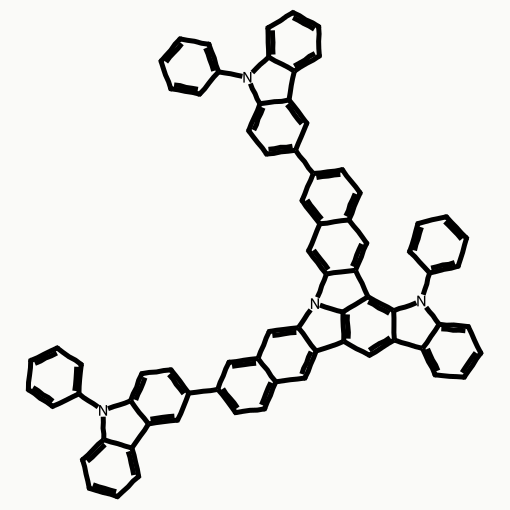 c1ccc(-n2c3ccccc3c3cc(-c4ccc5cc6c7cc8c9ccccc9n(-c9ccccc9)c8c8c9cc%10ccc(-c%11ccc%12c(c%11)c%11ccccc%11n%12-c%11ccccc%11)cc%10cc9n(c6cc5c4)c78)ccc32)cc1